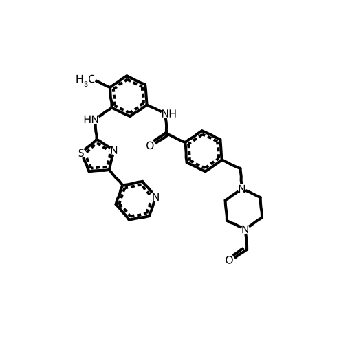 Cc1ccc(NC(=O)c2ccc(CN3CCN(C=O)CC3)cc2)cc1Nc1nc(-c2cccnc2)cs1